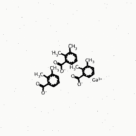 Cc1cccc(C(=O)[O-])c1C.Cc1cccc(C(=O)[O-])c1C.Cc1cccc(C(=O)[O-])c1C.[Ga+3]